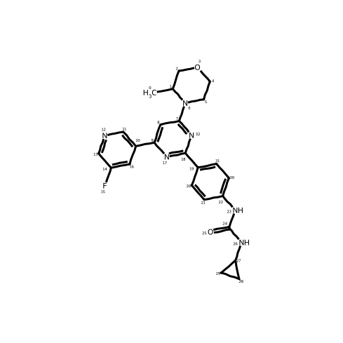 CC1COCCN1c1cc(-c2cncc(F)c2)nc(-c2ccc(NC(=O)NC3CC3)cc2)n1